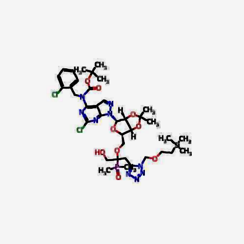 CC(C)(C)OC(=O)N(Cc1ccccc1Cl)c1nc(Cl)nc2c1cnn2[C@@H]1O[C@H](COC(CO)(Cc2nnnn2COCC[Si](C)(C)C)P(C)(C)=O)[C@H]2OC(C)(C)O[C@H]21